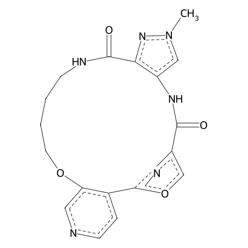 Cn1cc2c(n1)C(=O)NCCCCOc1cnccc1-c1nc(co1)C(=O)N2